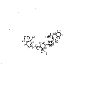 CCCCN(C(=O)c1ccccc1Cl)c1nnc(-c2ccc(OCCN3CCC(CC(=O)O)CC3)c(C(F)(F)F)c2)s1